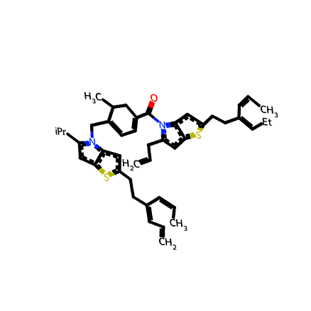 C=C/C=C(\C=C/C)CCc1cc2c(cc(C(C)C)n2CC2=CC=C(C(=O)n3c(CC=C)cc4sc(CCC(/C=C\C)=C/CC)cc43)CC2C)s1